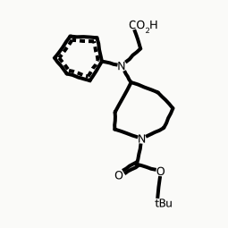 CC(C)(C)OC(=O)N1CCCC(N(CC(=O)O)c2ccccc2)CC1